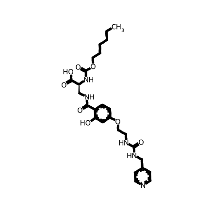 CCCCCCOC(=O)N[C@@H](CNC(=O)c1ccc(OCCNC(=O)NCc2ccncc2)cc1O)C(=O)O